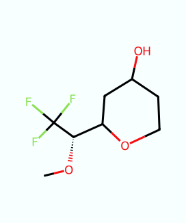 CO[C@@H](C1CC(O)CCO1)C(F)(F)F